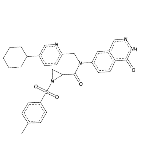 Cc1ccc(S(=O)(=O)N2CC2C(=O)N(Cc2ccc(C3CCCCC3)cn2)c2ccc3c(=O)[nH]ncc3c2)cc1